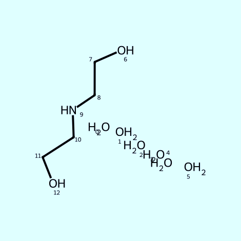 O.O.O.O.O.O.OCCNCCO